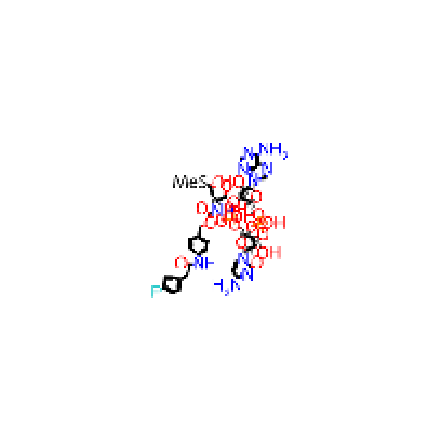 CSC(=O)C[C@H](NC(=O)OCc1ccc(NC(=O)Cc2ccc(F)cc2)cc1)C(=O)O[C@H]1[C@@H](O)[C@H](n2cnc3c(N)ncnc32)O[C@@H]1COP(=O)(O)O[C@H]1[C@@H](O)[C@H](n2ccc(N)nc2=O)O[C@@H]1COP(=O)(O)O